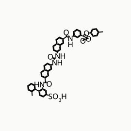 Cc1ccc(OS(=O)(=O)c2cccc(NC(=O)c3ccc4ccc(NC(=O)Nc5ccc6ccc(C(=O)Nc7cc(S(=O)(=O)O)ccc7-c7ccccc7C)cc6c5)cc4c3)c2)cc1